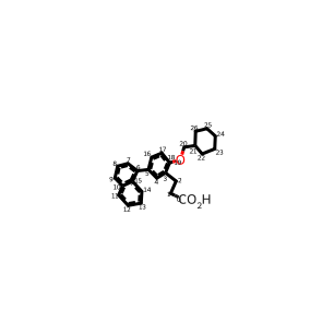 O=C(O)CCc1cc(-c2cccc3ccccc23)ccc1OCC1CCCCC1